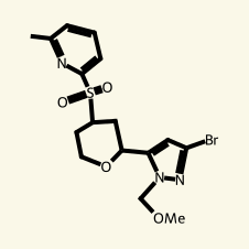 COCn1nc(Br)cc1C1CC(S(=O)(=O)c2cccc(C)n2)CCO1